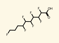 O=C(O)C(F)C(F)C(F)C(F)C(F)C(F)CCCF